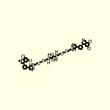 CN1Cc2c(Cl)cc(Cl)cc2[C@H](c2cccc(-c3cnnc(NCCOCCOCCNC(=O)[C@H](O)[C@@H](O)C(=O)NCCOCCOCCNc4cc(C5=CC=CC([C@@H]6CN(C)Cc7c(Cl)cc(Cl)cc76)C5)cnn4)c3)c2)C1